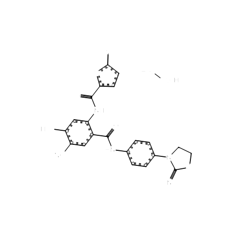 CS(=O)(=O)O.Cc1cc(NC(=O)c2ccc(Cl)s2)c(C(=O)Nc2ccc(N3CCOC3=N)cc2)cc1C#N